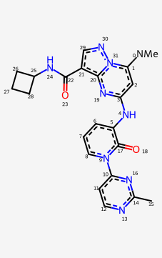 CNc1cc(Nc2cccn(-c3ccnc(C)n3)c2=O)nc2c(C(=O)NC3CCC3)cnn12